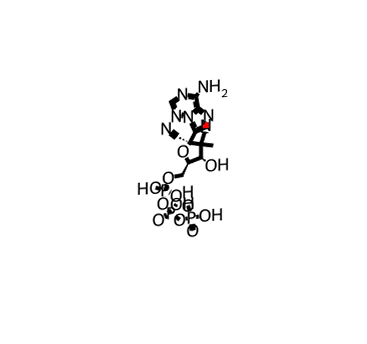 CC1(C#N)[C@H](O)[C@@H](COP(=O)(O)OP(=O)(O)OP(=O)(O)O)O[C@@]1(C#N)c1cnc2c(N)ncnn12